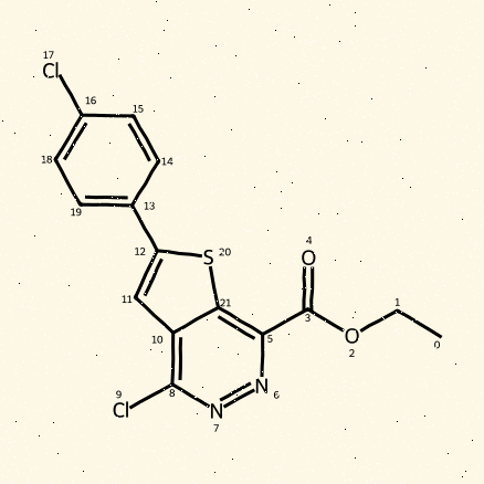 CCOC(=O)c1nnc(Cl)c2cc(-c3ccc(Cl)cc3)sc12